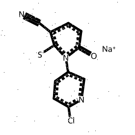 N#Cc1ccc(=O)n(-c2ccc(Cl)nc2)c1[S-].[Na+]